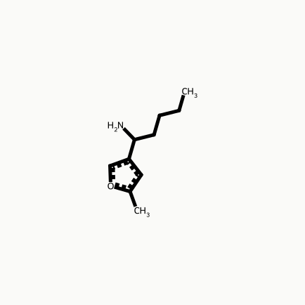 CCCCC(N)c1coc(C)c1